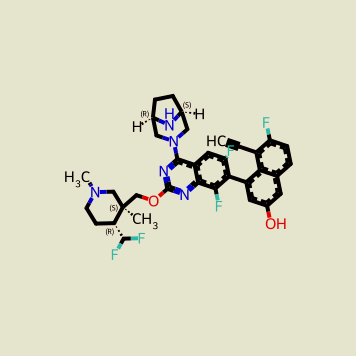 C#Cc1c(F)ccc2cc(O)cc(-c3c(F)cc4c(N5C[C@H]6CC[C@@H](C5)N6)nc(OC[C@]5(C)CN(C)CC[C@H]5C(F)F)nc4c3F)c12